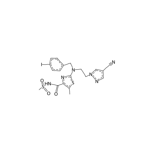 Cc1sc(N(CCn2cc(C#N)cn2)Cc2ccc(I)cc2)nc1C(=O)NS(C)(=O)=O